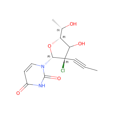 CC#C[C@@]1(Cl)C(O)[C@@H]([C@H](C)O)O[C@H]1n1ccc(=O)[nH]c1=O